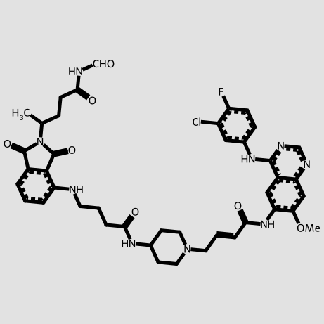 COc1cc2ncnc(Nc3ccc(F)c(Cl)c3)c2cc1NC(=O)/C=C/CN1CCC(NC(=O)CCCNc2cccc3c2C(=O)N(C(C)CCC(=O)NC=O)C3=O)CC1